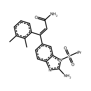 Cc1cccc(C(=CC(N)=O)c2ccc3nc(N)n(S(=O)(=O)C(C)C)c3c2)c1C